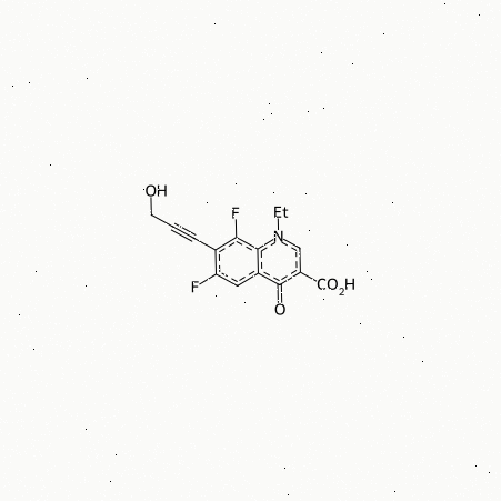 CCn1cc(C(=O)O)c(=O)c2cc(F)c(C#CCO)c(F)c21